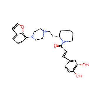 O=C(/C=C/c1ccc(O)c(O)c1)N1CCCC[C@H]1CCN1CCN(c2cccc3ccoc23)CC1